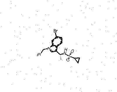 CC(C)Cn1cc([C@@H](C)NS(=O)(=O)C2CC2)c2ccc(Br)cc21